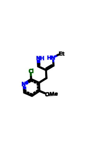 CCN/C=C(\C=N)Cc1c(OC)ccnc1Cl